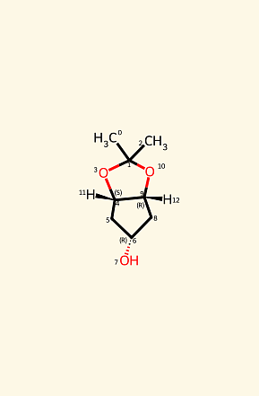 CC1(C)O[C@H]2C[C@@H](O)C[C@H]2O1